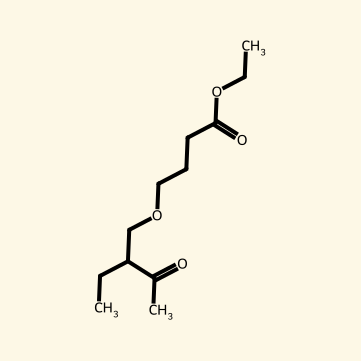 CCOC(=O)CCCOCC(CC)C(C)=O